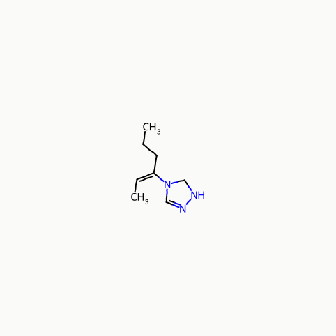 C/C=C(/CCC)N1C=NNC1